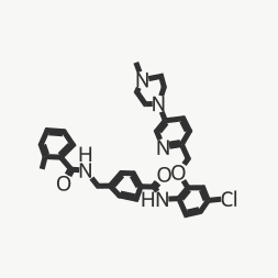 Cc1ccccc1C(=O)NCc1ccc(C(=O)Nc2ccc(Cl)cc2OCc2ccc(N3CCN(C)CC3)cn2)cc1